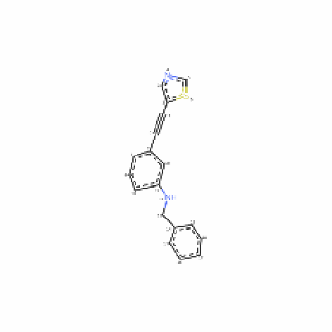 C(#Cc1[c]ncs1)c1cccc(NCc2ccccc2)c1